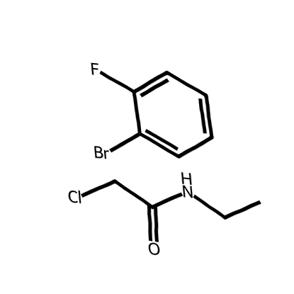 CCNC(=O)CCl.Fc1ccccc1Br